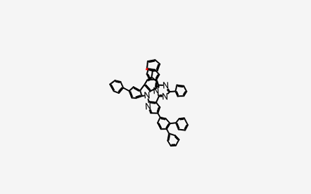 c1ccc(-c2ccc3c(c2)c2cc(-c4ccccc4)ccc2n3-c2ncc(-c3ccc(-c4ccccc4)c(-c4ccccc4)c3)cc2-c2nc(-c3ccccc3)nc(-c3ccccc3)n2)cc1